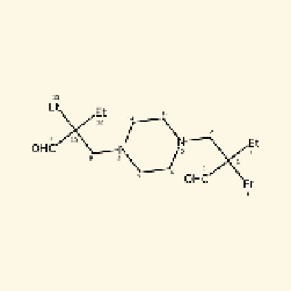 CCC(C=O)(CC)CN1CCN(CC(C=O)(CC)CC)CC1